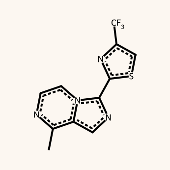 Cc1nccn2c(-c3nc(C(F)(F)F)cs3)ncc12